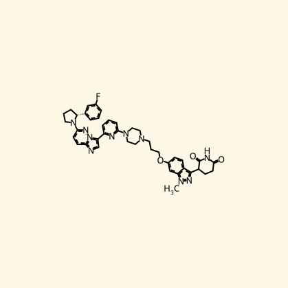 Cn1nc(C2CCC(=O)NC2=O)c2ccc(OCCCN3CCN(c4cccc(-c5cnc6ccc(N7CCC[C@@H]7c7cccc(F)c7)nn56)n4)CC3)cc21